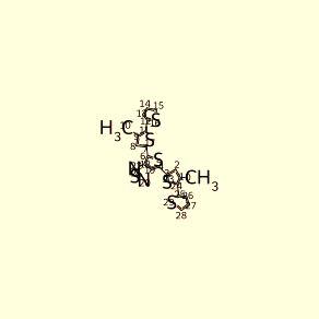 Cc1cc(-c2sc(-c3cc(C)c(-c4cccs4)s3)c3c2N=S=N3)sc1-c1cccs1